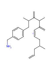 C=CCC(C)C/C=C\C(=C)C(C)C(=C)C(C)Cc1ccc(CN)cc1